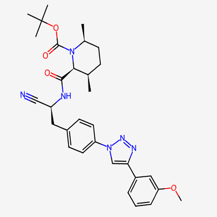 COc1cccc(-c2cn(-c3ccc(C[C@@H](C#N)NC(=O)[C@@H]4[C@H](C)CC[C@H](C)N4C(=O)OC(C)(C)C)cc3)nn2)c1